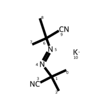 CC(C)(C#N)N=NC(C)(C)C#N.[K]